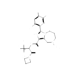 CN1CCCn2c(-c3cc(Cl)c(F)cc3F)nc(C(=O)NC(C(=O)N3CCC3)C(C)(C)C)c2C1